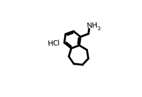 Cl.NCc1cccc2c1CCCCC2